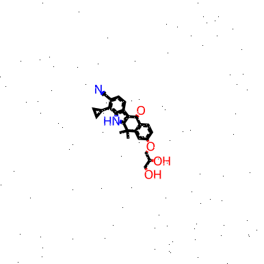 CC1(C)c2cc(OCC(O)CO)ccc2C(=O)c2c1[nH]c1c(C3CC3)c(C#N)ccc21